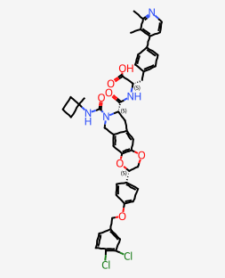 Cc1nccc(-c2ccc(C[C@H](NC(=O)[C@@H]3Cc4cc5c(cc4CN3C(=O)NC3(C)CCC3)O[C@@H](c3ccc(OCc4ccc(Cl)c(Cl)c4)cc3)CO5)C(=O)O)cc2)c1C